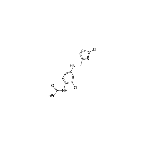 CCCC(=O)Nc1ccc(NCc2ccc(Cl)s2)cc1Cl